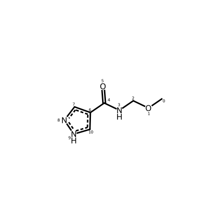 COCNC(=O)c1cn[nH]c1